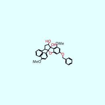 COc1ccc(C23Oc4cc(OCc5ccccc5)cc(OC)c4C2(O)C(O)CC3c2ccccc2)cc1